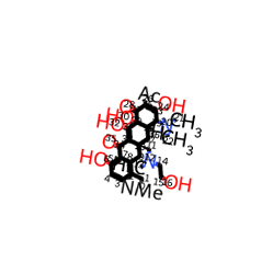 CNCc1ccc(O)c2c1C[C@@]1(CN(C)CCO)C[C@H]3[C@H](N(C)C)C(O)=C(C(C)=O)C(=O)[C@@]3(O)C(O)=C1C2=O